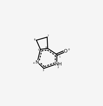 O=c1[nH]cnc2c1CC2